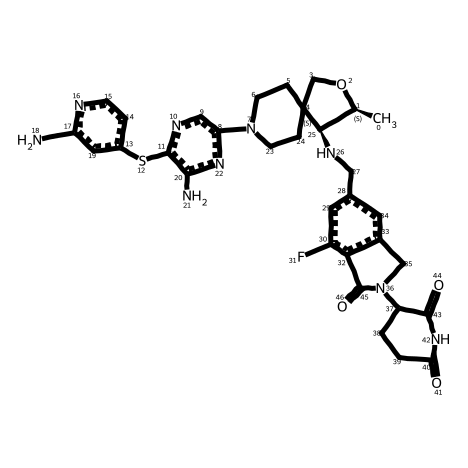 C[C@@H]1OCC2(CCN(c3cnc(Sc4ccnc(N)c4)c(N)n3)CC2)[C@@H]1NCc1cc(F)c2c(c1)CN(C1CCC(=O)NC1=O)C2=O